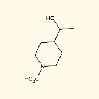 CC(O)C1CCN(C(=O)O)CC1